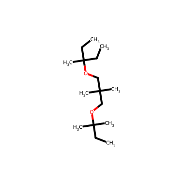 CCC(C)(C)OCC(C)(C)COC(C)(CC)CC